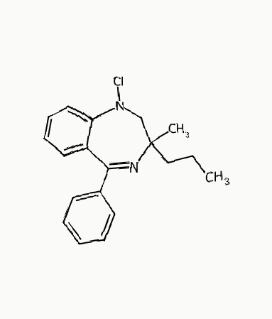 CCCC1(C)CN(Cl)c2ccccc2C(c2ccccc2)=N1